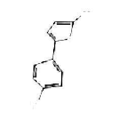 Cc1ccc(-c2ccc(C(F)(F)F)s2)cc1